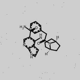 NC(=O)c1cnc2[nH]ccc2c1N[C@@H]1C[C@H]2CC[C@@H](C1)N2C(=O)Cc1cccnc1